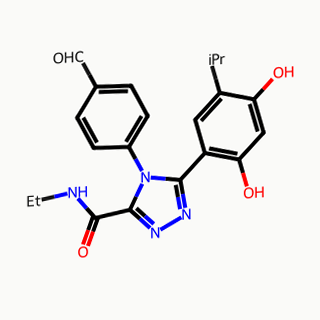 CCNC(=O)c1nnc(-c2cc(C(C)C)c(O)cc2O)n1-c1ccc(C=O)cc1